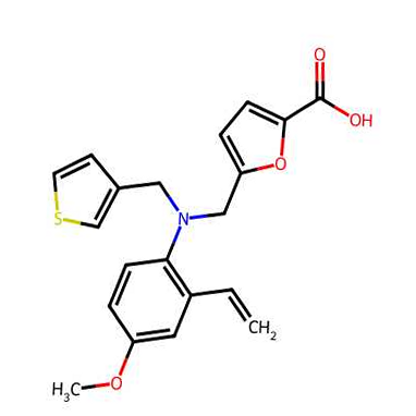 C=Cc1cc(OC)ccc1N(Cc1ccsc1)Cc1ccc(C(=O)O)o1